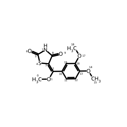 COC(=C1SC(=O)NC1=O)c1ccc(OC)c(OC)c1